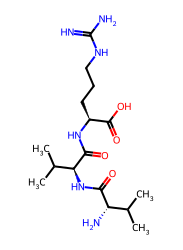 CC(C)[C@H](N)C(=O)N[C@H](C(=O)N[C@@H](CCCNC(=N)N)C(=O)O)C(C)C